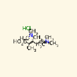 CC(=CCC(C)(C)C)C(=O)O.CN(C)C.CN(C)C.Cl